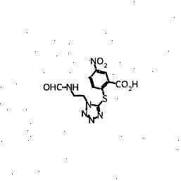 O=CNCCn1nnnc1Sc1ccc([N+](=O)[O-])cc1C(=O)O